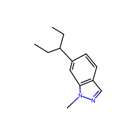 CCC(CC)c1ccc2cnn(C)c2c1